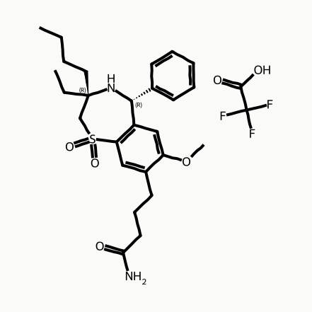 CCCC[C@]1(CC)CS(=O)(=O)c2cc(CCCC(N)=O)c(OC)cc2[C@@H](c2ccccc2)N1.O=C(O)C(F)(F)F